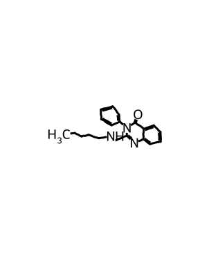 CCCCCNCc1nc2ccccc2c(=O)n1-c1ccccc1